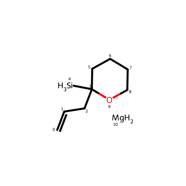 C=CCC1([SiH3])CCCCO1.[MgH2]